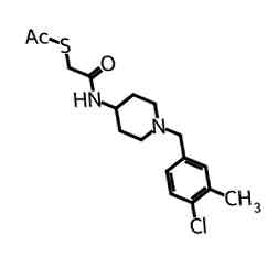 CC(=O)SCC(=O)NC1CCN(Cc2ccc(Cl)c(C)c2)CC1